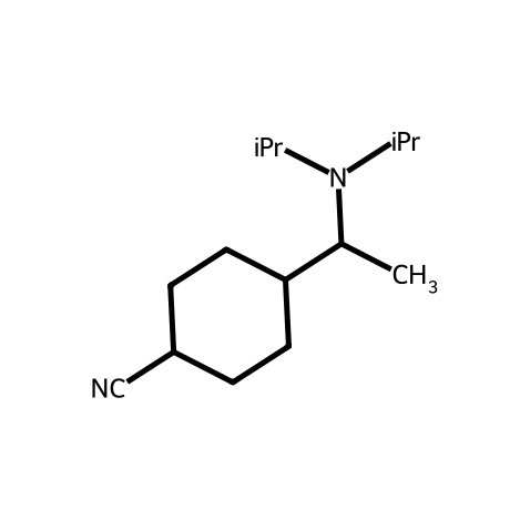 CC(C)N(C(C)C)C(C)C1CCC(C#N)CC1